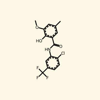 COc1cc(C)cc(C(=O)Nc2cc(C(F)(F)F)ccc2Cl)c1O